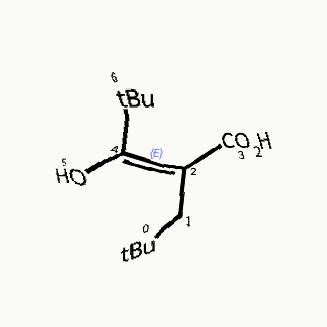 CC(C)(C)C/C(C(=O)O)=C(\O)C(C)(C)C